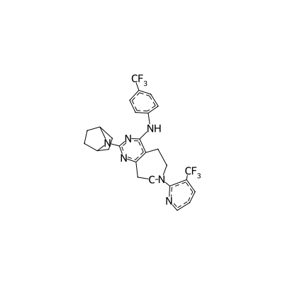 FC(F)(F)c1ccc(Nc2nc(N3C4CCC3CC4)nc3c2CCN(c2ncccc2C(F)(F)F)CC3)cc1